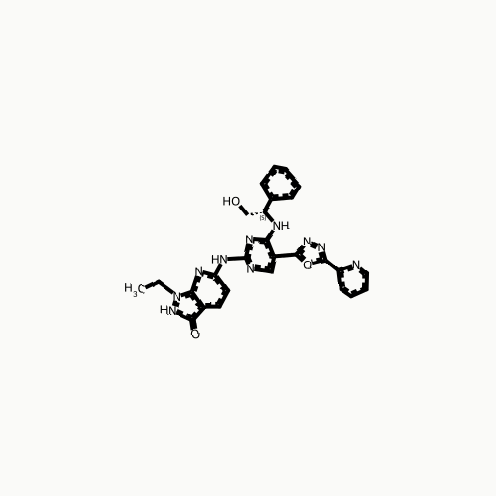 CCn1[nH]c(=O)c2ccc(Nc3ncc(-c4nnc(-c5ccccn5)o4)c(N[C@H](CO)c4ccccc4)n3)nc21